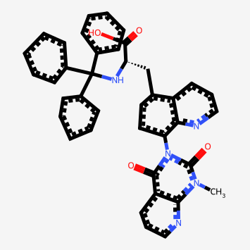 Cn1c(=O)n(-c2ccc(C[C@H](NC(c3ccccc3)(c3ccccc3)c3ccccc3)C(=O)O)c3cccnc23)c(=O)c2cccnc21